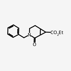 CCOC(=O)C1C2CCN(Cc3ccccc3)C(=O)C21